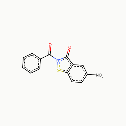 O=C(c1ccccc1)n1sc2ccc([N+](=O)[O-])cc2c1=O